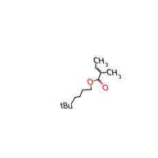 CC=C(C)C(=O)OCCCCC(C)(C)C